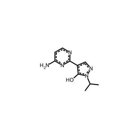 CC(C)n1ncc(-c2nccc(N)n2)c1O